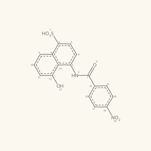 O=C(Nc1ccc(S(=O)(=O)O)c2cccc(O)c12)c1ccc([N+](=O)[O-])cc1